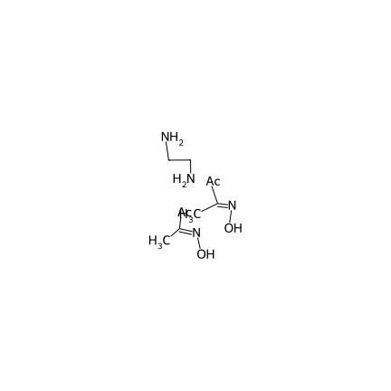 CC(=O)C(C)=NO.CC(=O)C(C)=NO.NCCN